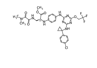 COC(=O)[C@H](CNC(=O)C(=O)N(C)C)Nc1ccc(Nc2nc(NC3(c4ccc(Cl)cc4)CC3)nc(OCC(F)(F)F)n2)cc1